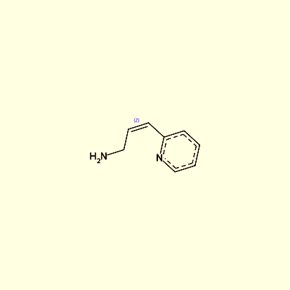 NC/C=C\c1ccccn1